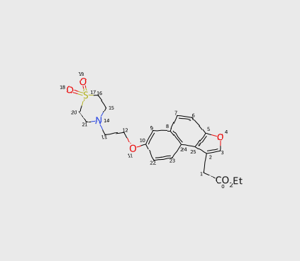 CCOC(=O)Cc1coc2ccc3cc(OCCN4CCS(=O)(=O)CC4)ccc3c12